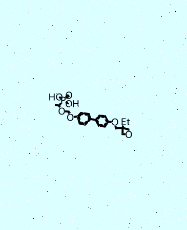 CCC1(COc2ccc(-c3ccc(OCOC(C)P(=O)(O)O)cc3)cc2)COC1